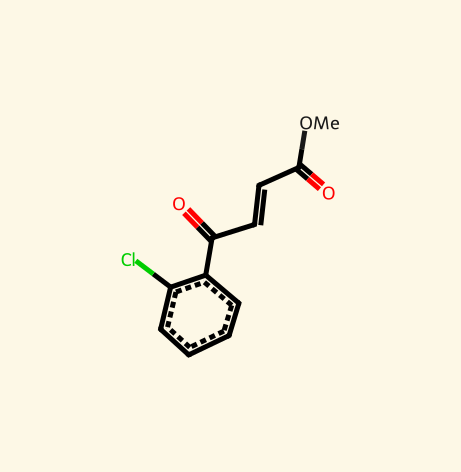 COC(=O)C=CC(=O)c1ccccc1Cl